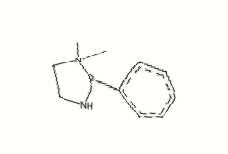 C[N+]1(C)CCNP1c1ccccc1